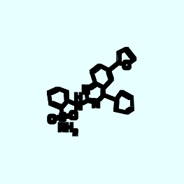 NS(=O)(=O)c1ccccc1Nc1nc(-c2ccccc2)c2cc(-c3ccco3)ccc2n1